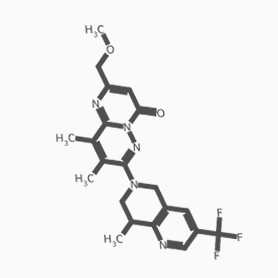 COCc1cc(=O)n2nc(N3Cc4cc(C(F)(F)F)cnc4C(C)C3)c(C)c(C)c2n1